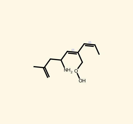 C=C(C)CC(N)/C=C(/C=C\C)COO